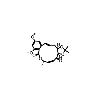 COc1cc(O)c2c(c1)/C=C/C[C@@H]1OC(C)(C)O[C@@H]1C(=O)/C=C\[C@H](C)OC2=O